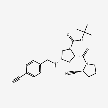 CC(C)(C)OC(=O)N1C[C@@H](NCc2ccc(C#N)cc2)C[C@H]1C(=O)N1CCC[C@H]1C#N